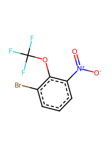 O=[N+]([O-])c1cccc(Br)c1OC(F)(F)F